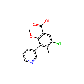 COc1c(C(=O)O)cc(Cl)c(C)c1-c1cccnc1